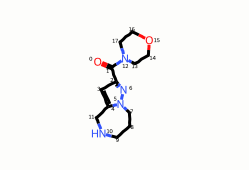 O=C(c1cc2n(n1)CCCNC2)N1CCOCC1